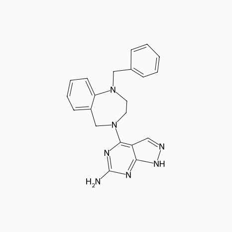 Nc1nc(N2CCN(Cc3ccccc3)c3ccccc3C2)c2cn[nH]c2n1